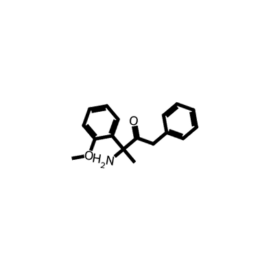 COc1ccccc1C(C)(N)C(=O)Cc1ccccc1